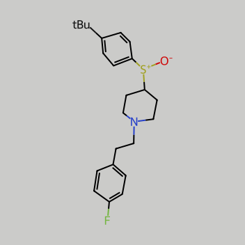 CC(C)(C)c1ccc([S+]([O-])C2CCN(CCc3ccc(F)cc3)CC2)cc1